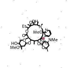 CCC1OC(=O)C(C)C(O[C@H]2C[C@@](C)(OC)[C@@H](O)[C@H](C)O2)C(C)C(O[C@@H]2O[C@H](C)C[C@H](NC)[C@H]2Oc2cccnc2OC)C(C)(O)CC(C)CN(C)C(C)C(O)C1(C)O